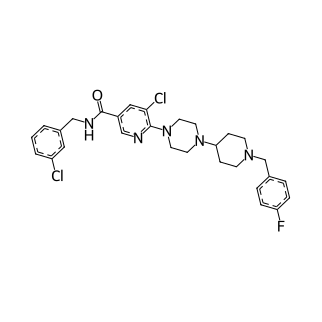 O=C(NCc1cccc(Cl)c1)c1cnc(N2CCN(C3CCN(Cc4ccc(F)cc4)CC3)CC2)c(Cl)c1